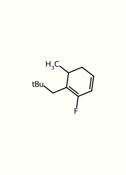 CC1CC=CC(F)=C1CC(C)(C)C